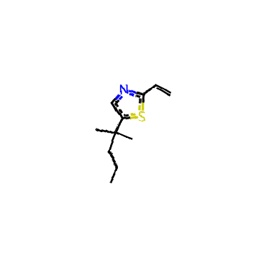 C=Cc1ncc(C(C)(C)CCC)s1